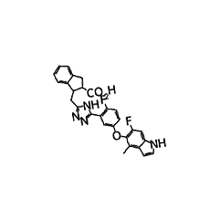 Cc1c(Oc2ccc(F)c(-c3nnc(CC4c5ccccc5CC4C(=O)O)[nH]3)c2)c(F)cc2[nH]ccc12